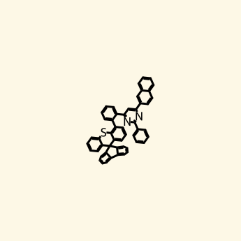 c1ccc(-c2nc(-c3ccc4ccccc4c3)cc(-c3ccccc3-c3cccc4c3Sc3ccccc3C43c4ccccc4-c4ccccc43)n2)cc1